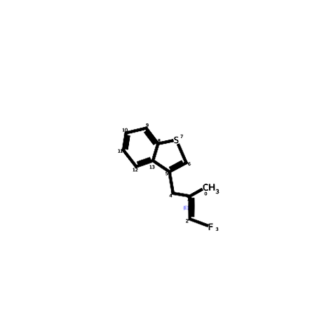 C/C(=C\F)Cc1csc2ccccc12